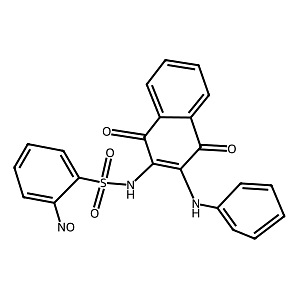 O=Nc1ccccc1S(=O)(=O)NC1=C(Nc2ccccc2)C(=O)c2ccccc2C1=O